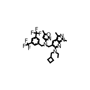 CCN(CC1CCC1)c1nc2c(cc1CN(Cc1cc(C(F)(F)F)cc(C(F)(F)F)c1)c1cc(C)on1)c(C)nn2C